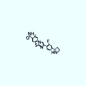 NC(=O)c1ccc2c(c1)sc1nc(-c3ccc(C4CCCN4)cc3F)cn12